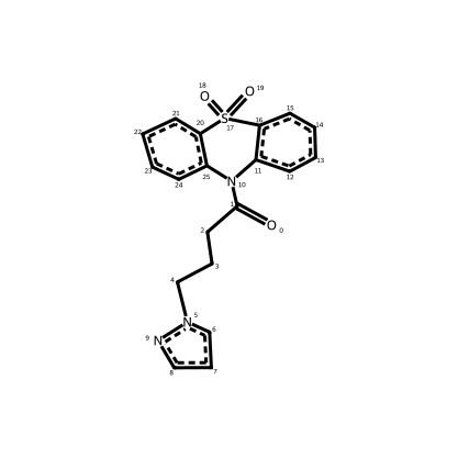 O=C(CCCn1cccn1)N1c2ccccc2S(=O)(=O)c2ccccc21